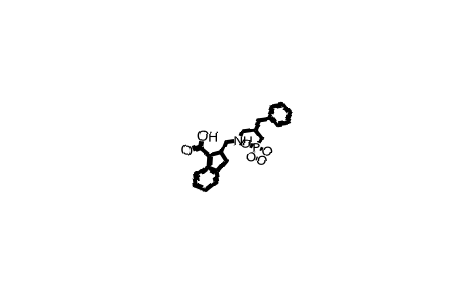 O=C(O)C1=c2ccccc2=CC1CNCC(Cc1ccccc1)CP1(=O)OOO1